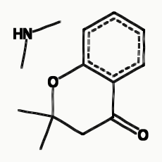 CC1(C)CC(=O)c2ccccc2O1.CNC